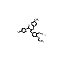 CCOc1ccc(C=C(Sc2ccc(C)cc2)C(=O)c2ccc(Cl)cc2)cc1OC